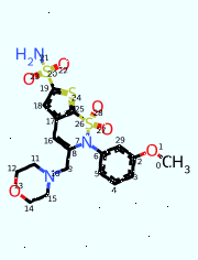 COc1cccc(N2C(CN3CCOCC3)=Cc3cc(S(N)(=O)=O)sc3S2(=O)=O)c1